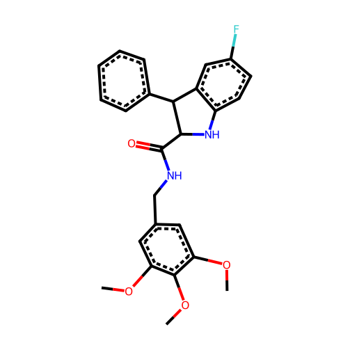 COc1cc(CNC(=O)C2Nc3ccc(F)cc3C2c2ccccc2)cc(OC)c1OC